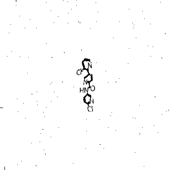 O=C(Nc1ccc(Cl)nc1)c1ccc(-c2ncccc2Cl)cn1